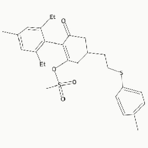 CCc1cc(C)cc(CC)c1C1=C(OS(C)(=O)=O)CC(CCSc2ccc(C)cc2)CC1=O